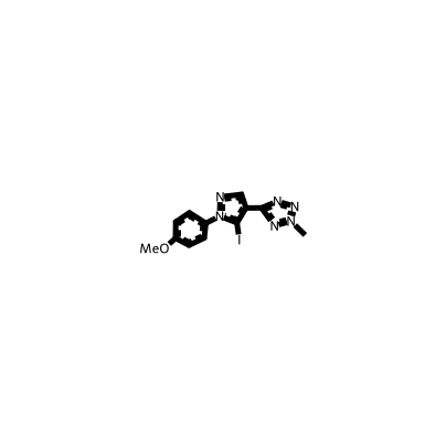 COc1ccc(-n2ncc(-c3nnn(C)n3)c2I)cc1